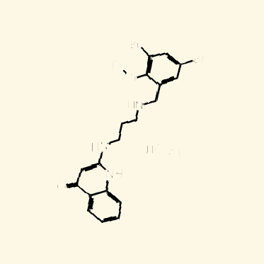 CCOc1c(Br)cc(Br)cc1CNCCCNc1cc(=O)c2ccccc2[nH]1.Cl.Cl